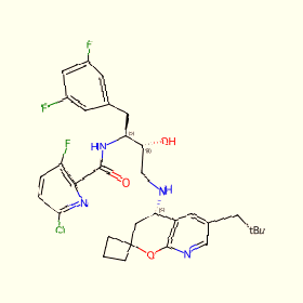 CC(C)(C)Cc1cnc2c(c1)[C@@H](NC[C@@H](O)[C@H](Cc1cc(F)cc(F)c1)NC(=O)c1nc(Cl)ccc1F)CC1(CCC1)O2